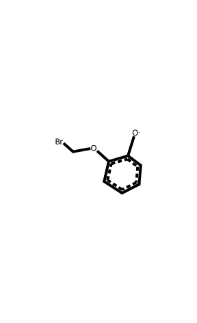 [O]c1ccccc1OCBr